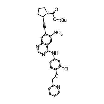 CC(C)(C)OC(=O)N1CCCC1C#Cc1cc2ncnc(Nc3ccc(OCc4ccccn4)c(Cl)c3)c2cc1[N+](=O)[O-]